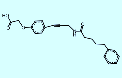 O=C(O)COc1ccc(C#CCNC(=O)CCCCc2ccccc2)cc1